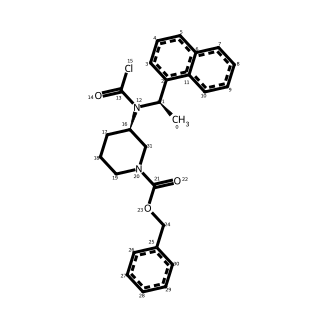 C[C@H](c1cccc2ccccc12)N(C(=O)Cl)[C@@H]1CCCN(C(=O)OCc2ccccc2)C1